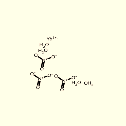 O.O.O.O.O=[N+]([O-])[O-].O=[N+]([O-])[O-].O=[N+]([O-])[O-].[Yb+3]